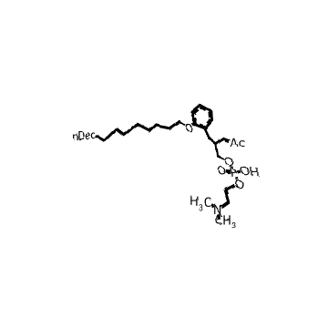 CCCCCCCCCCCCCCCCCCOc1ccccc1CC(COP(=O)(O)OCCN(C)C)CC(C)=O